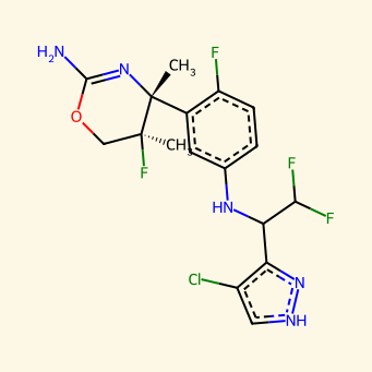 C[C@]1(F)COC(N)=N[C@]1(C)c1cc(NC(c2n[nH]cc2Cl)C(F)F)ccc1F